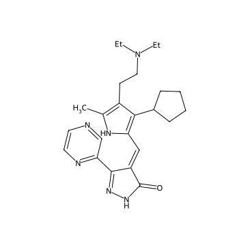 CCN(CC)CCc1c(C)[nH]c(/C=C2/C(=O)NN=C2c2cnccn2)c1C1CCCC1